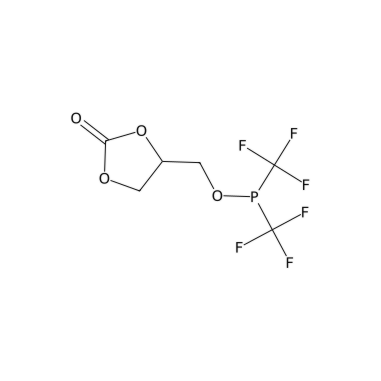 O=C1OCC(COP(C(F)(F)F)C(F)(F)F)O1